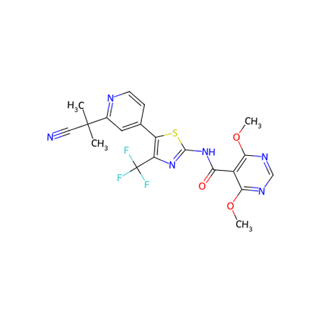 COc1ncnc(OC)c1C(=O)Nc1nc(C(F)(F)F)c(-c2ccnc(C(C)(C)C#N)c2)s1